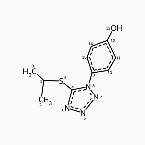 CC(C)Sc1nnnn1-c1ccc(O)cc1